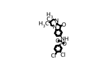 CC1(C)CN=C2C(=O)c3cc(NS(=O)(=O)c4ccc(Cl)c(Cl)c4)ccc3N2C1